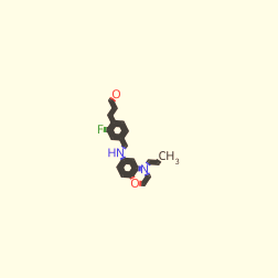 CCCN1CCOc2ccc(NCc3ccc(CCC=O)c(F)c3)cc21